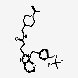 C=C(C)N1CCC(CNC(=O)CCc2nc3cccnc3n2Cc2ccc(OC(C)(F)F)cc2)CC1